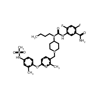 CCCCN(C(=O)Nc1cc(C(N)=O)c(F)cc1F)C1CCN(Cc2ccc(Oc3ccc(NS(C)(=O)=O)cc3C)nc2C)CC1